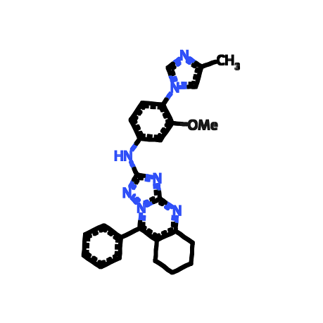 COc1cc(Nc2nc3nc4c(c(-c5ccccc5)n3n2)CCCC4)ccc1-n1cnc(C)c1